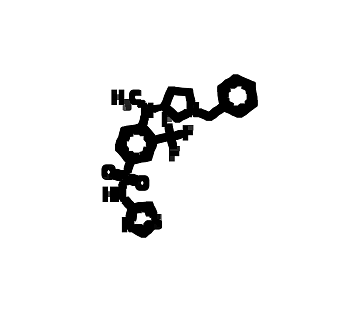 CN(c1ccc(S(=O)(=O)Nc2cscn2)cc1C(F)(F)F)[C@H]1CCN(Cc2ccccc2)C1